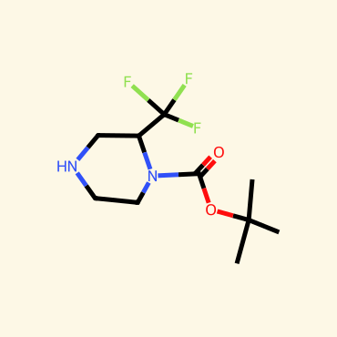 CC(C)(C)OC(=O)N1CCNCC1C(F)(F)F